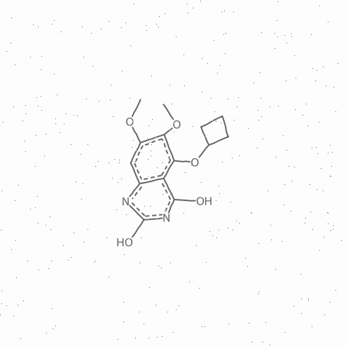 COc1cc2nc(O)nc(O)c2c(OC2CCC2)c1OC